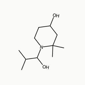 CC(C)C(O)N1CCC(O)CC1(C)C